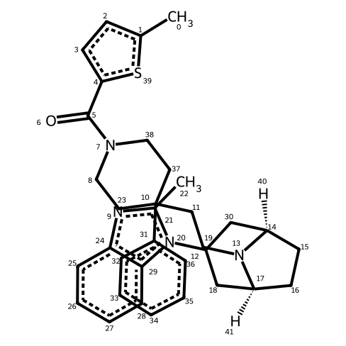 Cc1ccc(C(=O)N2CCC(CCN3[C@@H]4CC[C@H]3CC(n3c(C)nc5ccccc53)C4)(c3ccccc3)CC2)s1